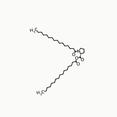 CCCCCCCCCCCCCCCC(=O)OC(=O)[C@@H]1CCCN1C(=O)CCCCCCCCCCCCCCC